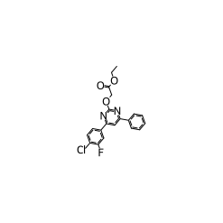 CCOC(=O)COc1nc(-c2ccccc2)cc(-c2ccc(Cl)c(F)c2)n1